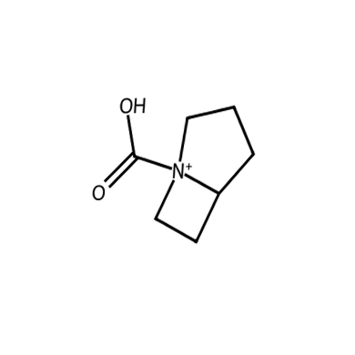 O=C(O)[N+]12CCCC1CC2